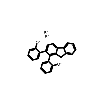 [K+].[K+].[O-]c1ccccc1-c1ccc2c(c1-c1ccccc1[O-])Cc1ccccc1-2